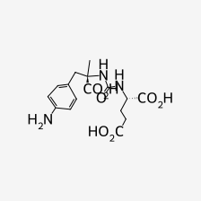 C[C@@](Cc1ccc(N)cc1)(NC(=O)N[C@@H](CCC(=O)O)C(=O)O)C(=O)O